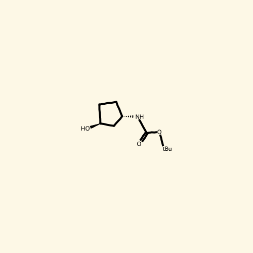 CC(C)(C)OC(=O)N[C@H]1CC[C@H](O)C1